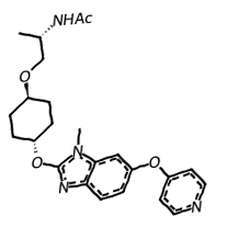 CC(=O)N[C@@H](C)CO[C@H]1CC[C@H](Oc2nc3ccc(Oc4ccncc4)cc3n2C)CC1